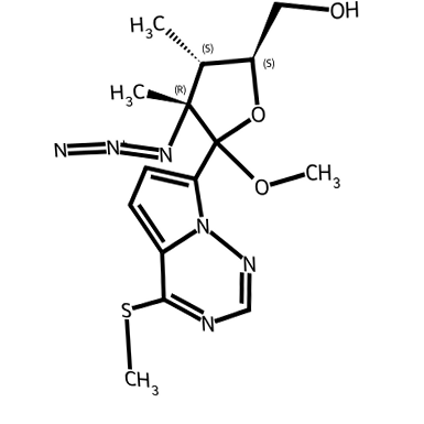 COC1(c2ccc3c(SC)ncnn23)O[C@H](CO)[C@@H](C)[C@@]1(C)N=[N+]=[N-]